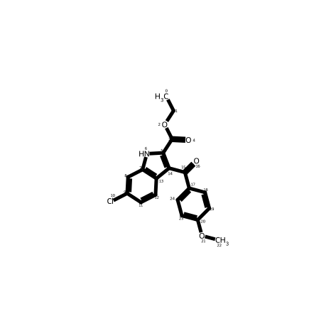 CCOC(=O)c1[nH]c2cc(Cl)ccc2c1C(=O)c1ccc(OC)cc1